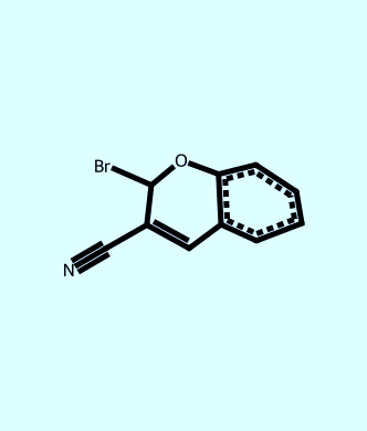 N#CC1=Cc2ccccc2OC1Br